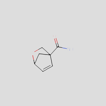 NC(=O)C12C=CC(C1)OC2